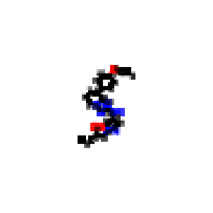 COc1ccc(-c2cccn3nc(Nc4cnn(C[C@@H](C)O)c4)nc23)cc1